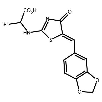 CC(C)C(NC1=NC(=O)/C(=C/c2ccc3c(c2)OCO3)S1)C(=O)O